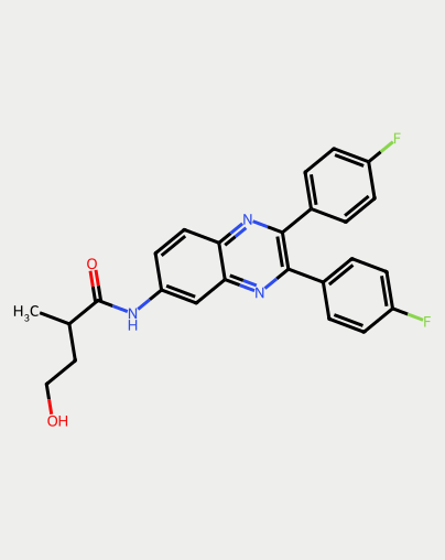 CC(CCO)C(=O)Nc1ccc2nc(-c3ccc(F)cc3)c(-c3ccc(F)cc3)nc2c1